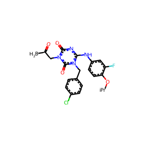 BC(=O)Cn1c(=O)nc(Nc2ccc(OC(C)C)c(F)c2)n(Cc2ccc(Cl)cc2)c1=O